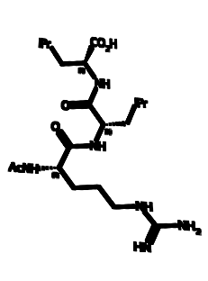 CC(=O)N[C@@H](CCCNC(=N)N)C(=O)N[C@@H](CC(C)C)C(=O)N[C@@H](CC(C)C)C(=O)O